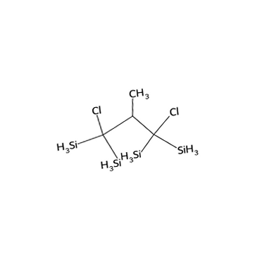 CC(C([SiH3])([SiH3])Cl)C([SiH3])([SiH3])Cl